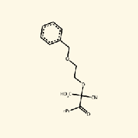 CCCC(=O)C(C#N)(OCCOCc1ccccc1)C(=O)O